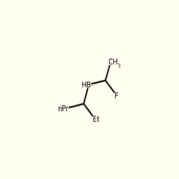 CCCC(BC(C)F)CC